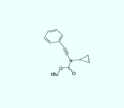 CC(C)(C)OC(=O)N(C#Cc1ccccc1)C1CC1